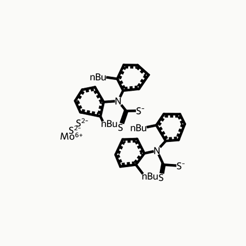 CCCCc1ccccc1N(C(=S)[S-])c1ccccc1CCCC.CCCCc1ccccc1N(C(=S)[S-])c1ccccc1CCCC.[Mo+6].[S-2].[S-2]